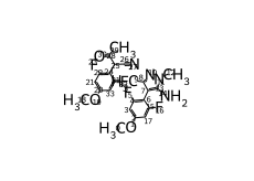 COc1cc(F)c(-c2c(C)nn(C)c2N)c(F)c1.COc1cc(F)c(C(C#N)C(C)=O)c(F)c1